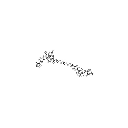 Cc1ncoc1-c1ccc(CNC(=O)[C@@H]2C[C@@H](C)CN2C(=O)[C@@H](NC(=O)COCCCOCCCCOc2ccc(N3C(=S)N(c4ccc(C#N)c(C(F)(F)F)c4)C(=O)C3(C)C)cc2)C(C)(C)C)cc1